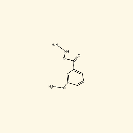 NNOC(=O)c1cccc(NN)c1